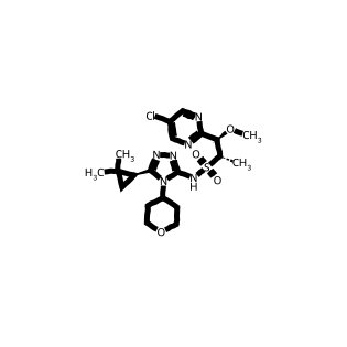 CO[C@H](c1ncc(Cl)cn1)[C@H](C)S(=O)(=O)Nc1nnc([C@H]2CC2(C)C)n1C1CCOCC1